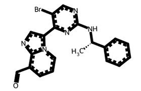 C[C@H](Nc1ncc(Br)c(-c2cnc3c(C=O)cccn23)n1)c1ccccc1